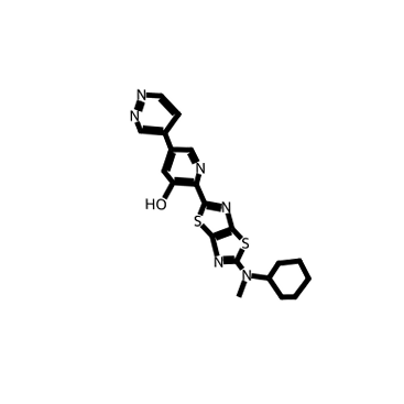 CN(c1nc2sc(-c3ncc(-c4ccnnc4)cc3O)nc2s1)C1CCCCC1